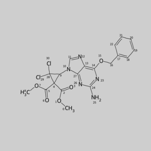 COC(=O)C1(C(=O)OC)C(n2cnc3c(OCc4ccccc4)nc(N)nc32)C1(Cl)Cl